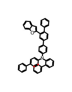 c1ccc(-c2ccc(N(c3ccc(-c4ccc(-c5ccccc5)c(-c5cc6ccccc6o5)c4)cc3)c3ccccc3-c3ccccc3)cc2)cc1